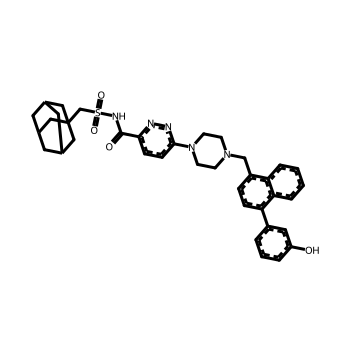 O=C(NS(=O)(=O)CC12CC3CC(CC(C3)C1)C2)c1ccc(N2CCN(Cc3ccc(-c4cccc(O)c4)c4ccccc34)CC2)nn1